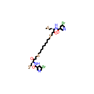 CSCC[C@H](NC(=O)c1cncc(Br)c1)C(=O)CCSCCCCCCCCCCSCCC(=O)[C@H](CCSC)NC(=O)c1cncc(Br)c1